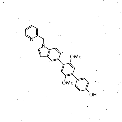 COc1cc(-c2ccc3c(ccn3Cc3ccccn3)c2)c(OC)cc1-c1ccc(O)cc1